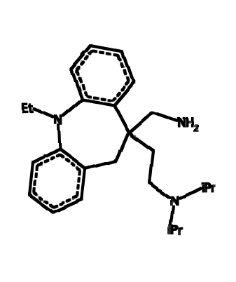 CCN1c2ccccc2CC(CN)(CCN(C(C)C)C(C)C)c2ccccc21